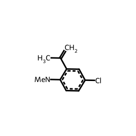 C=C(C)c1cc(Cl)ccc1NC